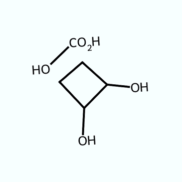 O=C(O)O.OC1CCC1O